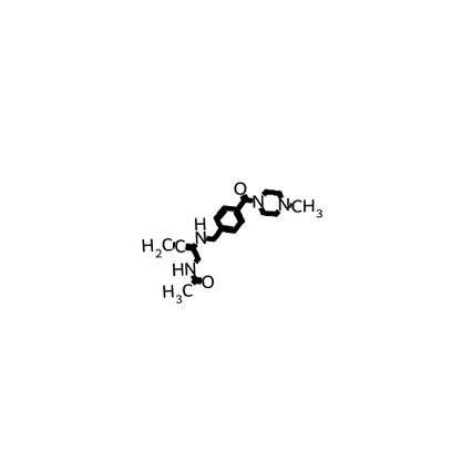 C=C=C(CNC(C)=O)NCc1ccc(C(=O)N2CCN(C)CC2)cc1